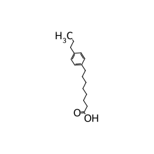 CCCc1ccc(CCCCCCCC(=O)O)cc1